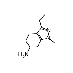 CCc1nn(C)c2c1CCC(N)C2